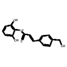 O=C(/C=C/c1ccc(CO)cc1)Nc1c(O)cccc1O